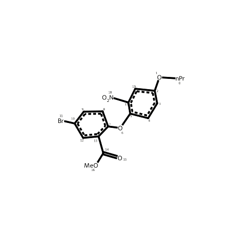 CCCOc1ccc(Oc2ccc(Br)cc2C(=O)OC)c([N+](=O)[O-])c1